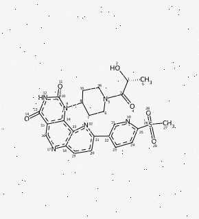 C[C@@H](O)C(=O)N1CCC(n2c(=O)[nH]c(=O)c3cnc4ccc(-c5ccc(S(C)(=O)=O)nc5)nc4c32)CC1